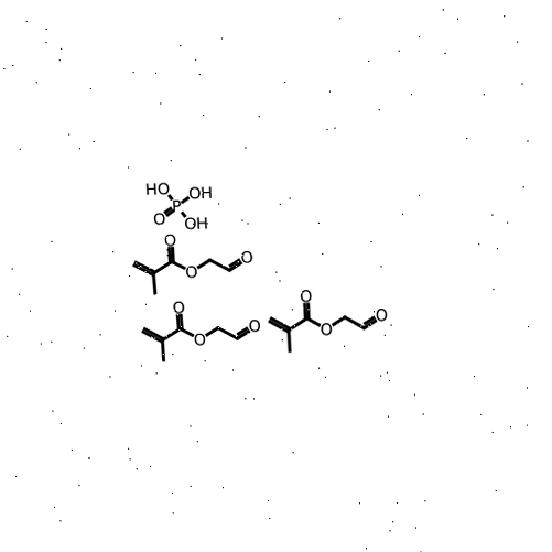 C=C(C)C(=O)OCC=O.C=C(C)C(=O)OCC=O.C=C(C)C(=O)OCC=O.O=P(O)(O)O